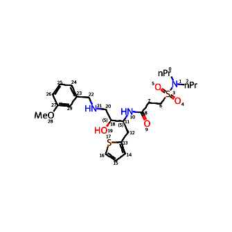 CCCN(CCC)S(=O)(=O)CCC(=O)N[C@@H](Cc1cccs1)[C@@H](O)CNCc1cccc(OC)c1